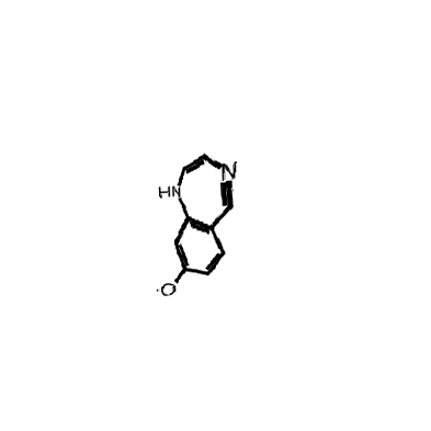 [O]c1ccc2c(c1)NC=CN=C2